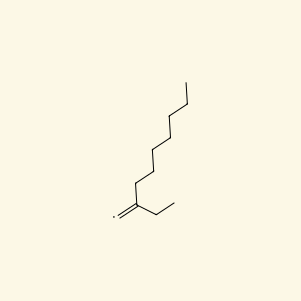 [CH]=C(CC)CCCCCCC